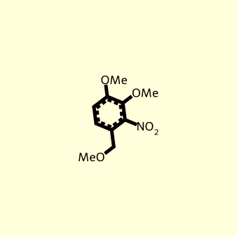 [CH2]OCc1ccc(OC)c(OC)c1[N+](=O)[O-]